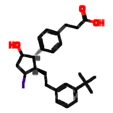 CC(C)(C)c1cccc(CC[C@H]2C(I)CC(O)[C@@H]2c2ccc(CCC(=O)O)cc2)c1